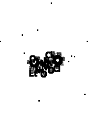 CCN(C(=O)n1nnn(-c2c(Cl)cccc2Cl)c1=O)C1=CCOCC1